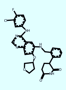 O=C1CCC(c2ccccc2CNc2cc3c(Nc4ccc(F)c(Cl)c4)ncnc3cc2O[C@H]2CCOC2)C(=O)N1